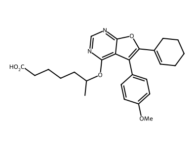 COc1ccc(-c2c(C3=CCCCC3)oc3ncnc(OC(C)CCCCC(=O)O)c23)cc1